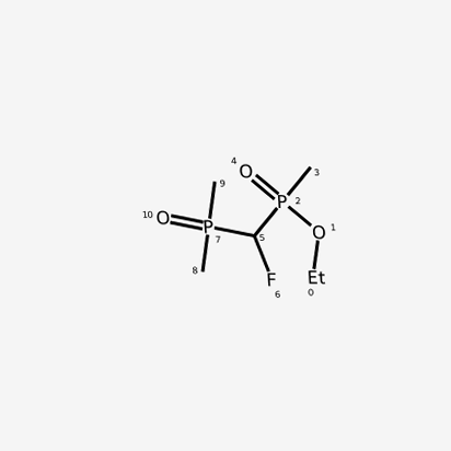 CCOP(C)(=O)C(F)P(C)(C)=O